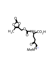 CN/N=C\C(=O)CCC(NC(=O)OCc1oc(=O)oc1C)C(=O)O